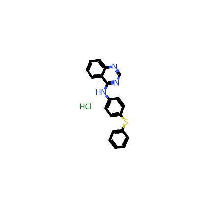 Cl.c1ccc(Sc2ccc(Nc3ncnc4ccccc34)cc2)cc1